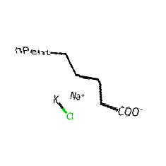 CCCCCCCCCC(=O)[O-].[Cl][K].[Na+]